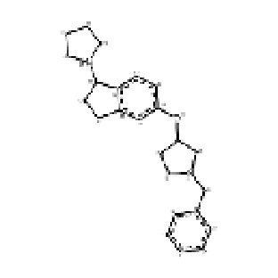 c1ccc(CN2CCC(Oc3ccc4c(c3)CCC4N3CCCC3)C2)cc1